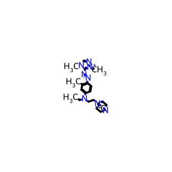 CCN(CC[N+]12CCN(CC1)CC2)c1ccc(/N=N/c2n(C)cn[n+]2C)c(C)c1